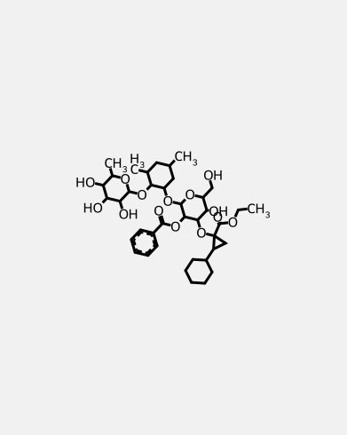 CCOC(=O)C1(OC2C(O)C(CO)OC(OC3CC(C)CC(C)C3OC3OC(C)C(O)C(O)C3O)C2OC(=O)c2ccccc2)CC1C1CCCCC1